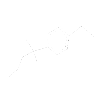 CCCC(C)(C)c1ccc(CC)cc1